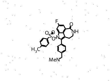 CNCc1ccc(-c2c3c4c(cc(F)cc4n2OS(=O)(=O)c2ccc(C)cc2)C(=O)NCC3)cc1